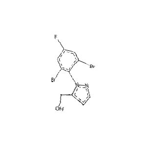 OCc1ccnn1-c1c(Br)cc(F)cc1Br